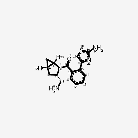 NC[C@@H]1C[C@@H]2C[C@@H]2N1C(=O)c1ccccc1-c1csc(N)n1